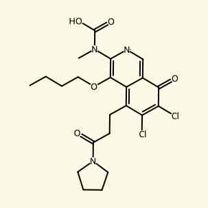 CCCCOC1=C(N(C)C(=O)O)[N]C=C2C(=O)C(Cl)=C(Cl)C(CCC(=O)N3CCCC3)=C21